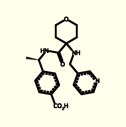 C[C@H](NC(=O)C1(NCc2cccnc2)CCOCC1)c1ccc(C(=O)O)cc1